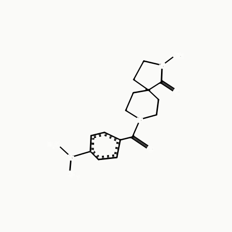 CN(C)c1ccc(C(=O)N2CCC3(CC2)CCN(C(C)(C)C)C3=O)cc1